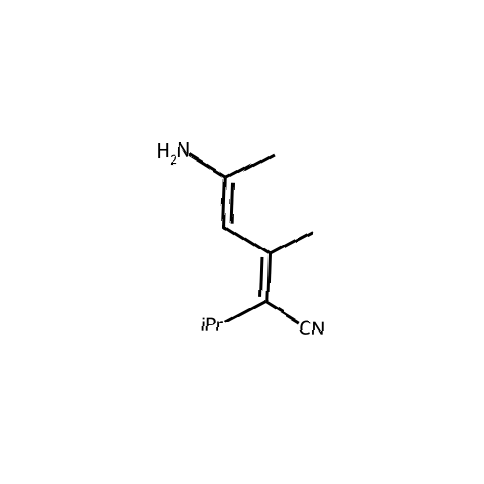 C/C(N)=C\C(C)=C(\C#N)C(C)C